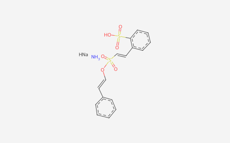 N.O=S(=O)(C=Cc1ccccc1S(=O)(=O)O)OC=Cc1ccccc1.[NaH]